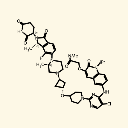 CNC(=O)COc1cc2cc(Nc3nc(N4CCC(O[C@H]5C[C@H](N6CCN(c7ccc8c(c7F)[C@H](C)N([C@@H]7CCC(=O)NC7=O)C8=O)[C@H](C)C6)C5)CC4)ncc3Cl)ccc2n(C(C)C)c1=O